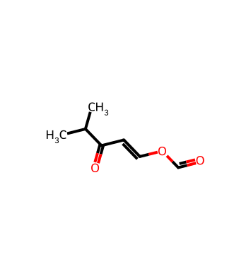 CC(C)C(=O)/C=C/OC=O